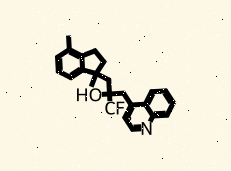 Cc1cccc2c1CCC2(C)CC(O)(Cc1ccnc2ccccc12)C(F)(F)F